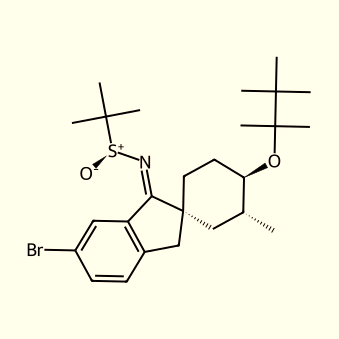 C[C@@H]1C[C@]2(CC[C@H]1OC(C)(C)C(C)(C)C)Cc1ccc(Br)cc1/C2=N\[S@@+]([O-])C(C)(C)C